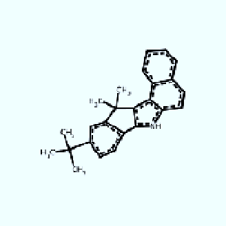 CC(C)(C)c1ccc2c(c1)C(C)(C)c1c-2[nH]c2ccc3ccccc3c12